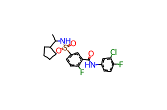 CC(NS(=O)(=O)c1ccc(F)c(C(=O)Nc2ccc(F)c(Cl)c2)c1)C1CCCC1